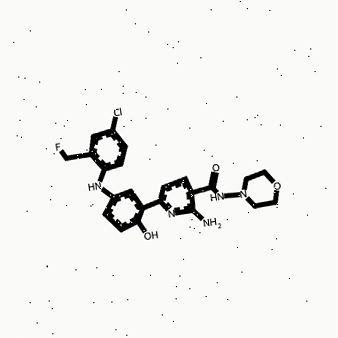 Nc1nc(-c2cc(Nc3ccc(Cl)cc3CF)ccc2O)ccc1C(=O)NN1CCOCC1